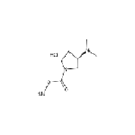 CN(C)[C@@H]1CCN(C(=O)OC(C)(C)C)C1.Cl